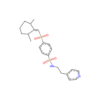 CC1CCCC(C)C1=CS(=O)(=O)c1ccc(S(=O)(=O)NCCc2ccncc2)cc1